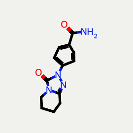 NC(=O)c1ccc(-n2nc3n(c2=O)CCCC3)cc1